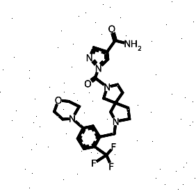 NC(=O)c1cnn(C(=O)N2CCC3(CCN(Cc4cc(N5CCOCC5)ccc4C(F)(F)F)C3)C2)c1